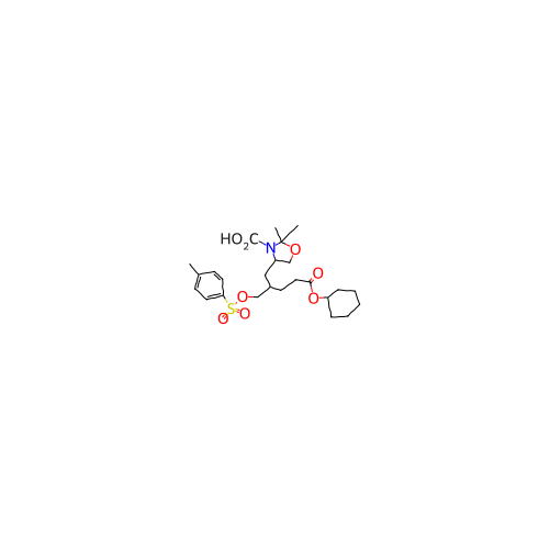 Cc1ccc(S(=O)(=O)OCC(CCC(=O)OC2CCCCC2)CC2COC(C)(C)N2C(=O)O)cc1